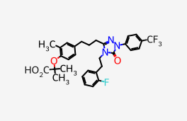 Cc1cc(CCCc2nn(-c3ccc(C(F)(F)F)cc3)c(=O)n2CCc2ccccc2F)ccc1OC(C)(C)C(=O)O